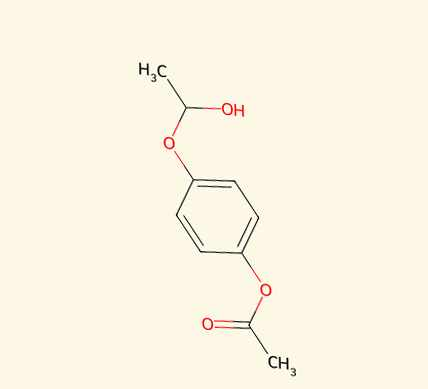 CC(=O)Oc1ccc(OC(C)O)cc1